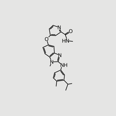 CNC(=O)c1cc(Oc2ccc3c(c2)nc(Nc2ccc(C)c(C(C)C)c2)n3C)ccn1